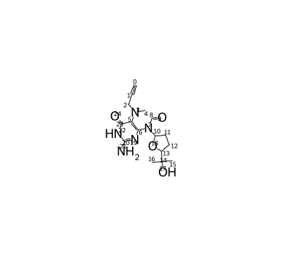 C#CCN(C)c1c(N(C=O)C2CCC(C(C)(C)O)O2)nc(N)[nH]c1=O